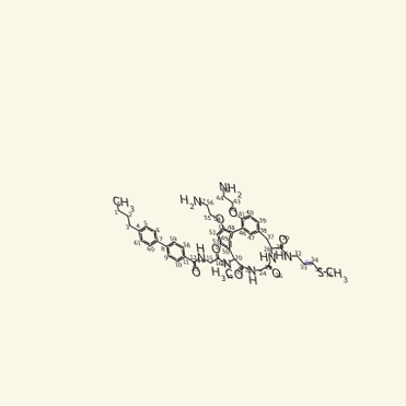 CCCCc1ccc(-c2ccc(C(=O)NCC(=O)N(C)C3C(=O)NCC(=O)NC(C(=O)NC/C=C/SC)Cc4ccc(OCCN)c(c4)-c4cc3ccc4OCCN)cc2)cc1